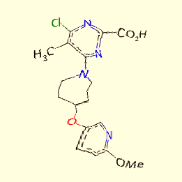 COc1ccc(OC2CCN(c3nc(C(=O)O)nc(Cl)c3C)CC2)cn1